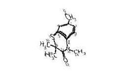 Cc1ccc2c(c1)SC(C)(C)C(=O)N2C